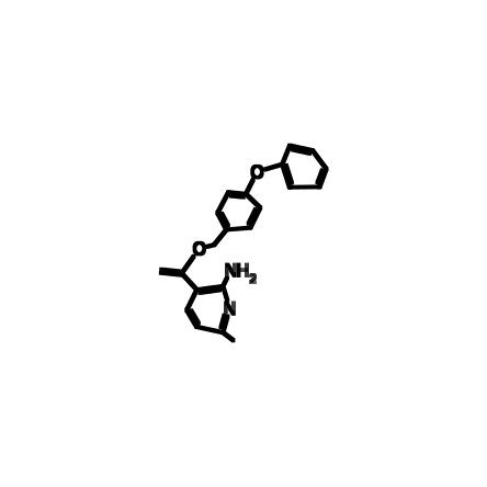 C=C(OCc1ccc(Oc2ccccc2)cc1)c1ccc(C)nc1N